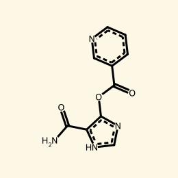 NC(=O)c1[nH]cnc1OC(=O)c1cccnc1